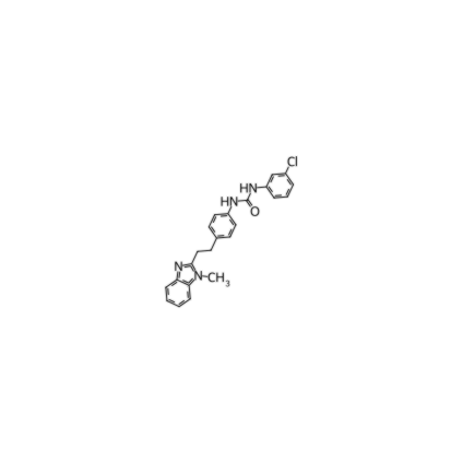 Cn1c(CCc2ccc(NC(=O)Nc3cccc(Cl)c3)cc2)nc2ccccc21